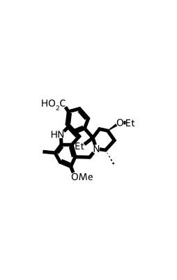 CCO[C@H]1C[C@H](C)N(Cc2c(OC)cc(C)c3[nH]ccc23)C(CC)(c2ccc(C(=O)O)cc2)C1